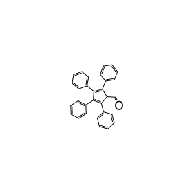 O=CC1C(c2ccccc2)=C(c2ccccc2)C(c2ccccc2)=C1c1ccccc1